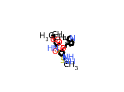 CNC(=S)Nc1ccc(S(=O)(=O)NC(C=O)CC(=O)OC(C)(C)C)c(OCCc2cccc3ncccc23)c1